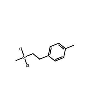 Cc1ccc(CC[Si](C)(Cl)Cl)cc1